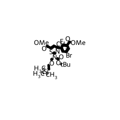 COC(=O)C1=C[C@@](C)(c2cc(Br)cc(C(=O)OC)c2F)N=C(N(COCC[Si](C)(C)C)C(=O)OC(C)(C)C)S1